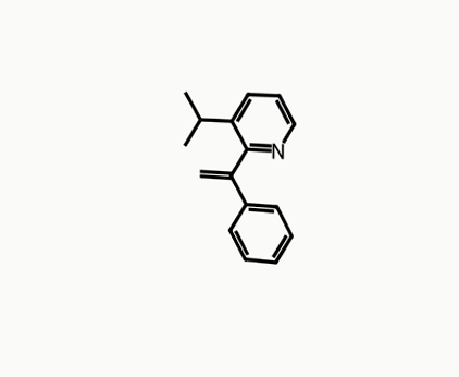 C=C(c1ccccc1)c1ncccc1C(C)C